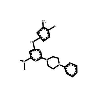 CN(C)c1cc(Nc2ccc(Br)c(C(F)(F)F)c2)nc(N2CCN(c3ccccn3)CC2)n1